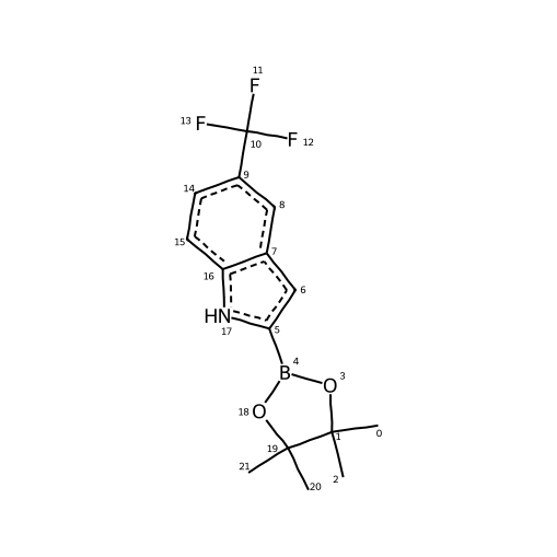 CC1(C)OB(c2cc3cc(C(F)(F)F)ccc3[nH]2)OC1(C)C